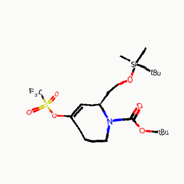 CC(C)(C)OC(=O)N1CCC(OS(=O)(=O)C(F)(F)F)=C[C@H]1CO[Si](C)(C)C(C)(C)C